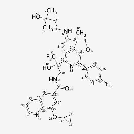 CC(C)(O)CCNC(=O)[C@@]1(C)COc2c1cc(C(O)(CNC(=O)c1cc(OC3CC3)c3ncccc3c1)C(F)(F)F)nc2-c1ccc(F)cc1